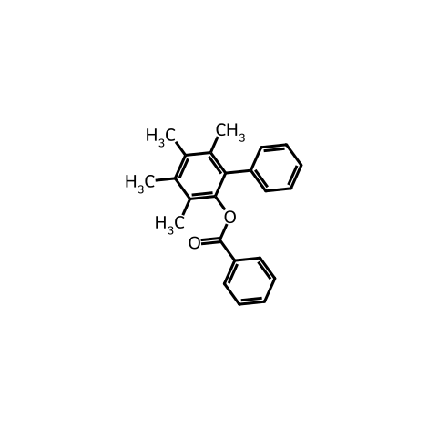 Cc1c(C)c(C)c(-c2ccccc2)c(OC(=O)c2ccccc2)c1C